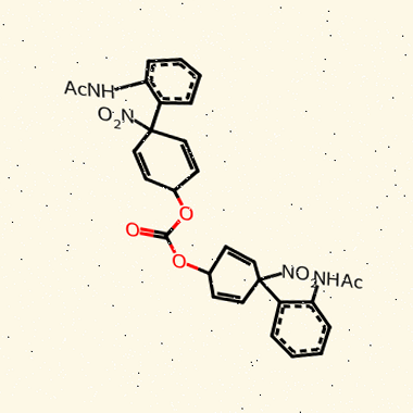 CC(=O)Nc1ccccc1C1([N+](=O)[O-])C=CC(OC(=O)OC2C=CC(c3ccccc3NC(C)=O)([N+](=O)[O-])C=C2)C=C1